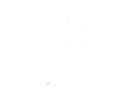 CCC[C@H]1CC[C@H](CCC(Oc2ccc(C(F)(F)F)cc2)c2ccccc2)CC1